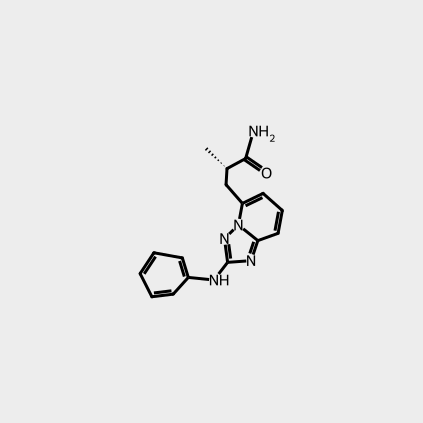 C[C@@H](Cc1cccc2nc(Nc3ccccc3)nn12)C(N)=O